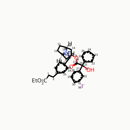 CCOC(=O)CCc1ccc(C[N@+]2(C)[C@@H]3CC[C@H]2C[C@@H](OC(=O)C(O)(c2ccccc2)c2ccccc2)C3)cc1.[I-]